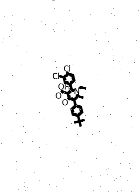 CCn1c(C)c(-c2ccc(C(C)(C)C)cc2)c(=O)c(C(=O)O)c1-c1ccc(Cl)c(Cl)c1